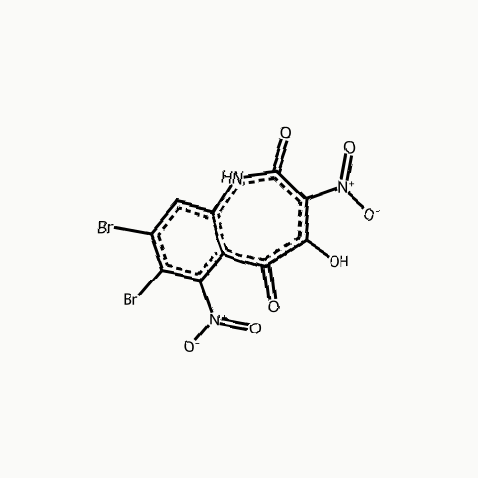 O=c1[nH]c2cc(Br)c(Br)c([N+](=O)[O-])c2c(=O)c(O)c1[N+](=O)[O-]